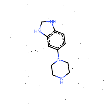 c1cc2c(cc1N1CCNCC1)NCN2